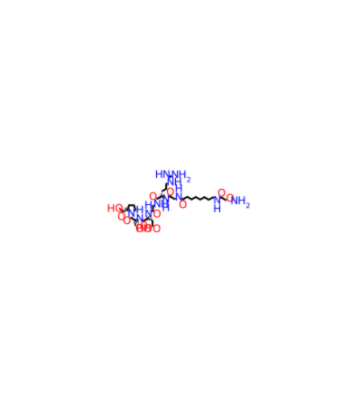 N=C(N)NCCC[C@H](NC(=O)CNC(=O)CCCCCCCNC(=O)CON)C(=O)NCC(=O)N[C@@H](CC(=O)O)C(=O)N[C@@H](CO)C(=O)N1CCC[C@@H]1C(=O)O